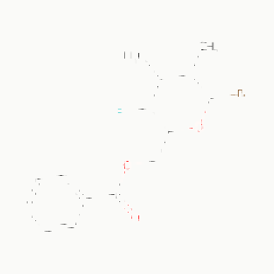 CC1C(Br)OC(COC(=O)c2ccccc2)C(F)C1C